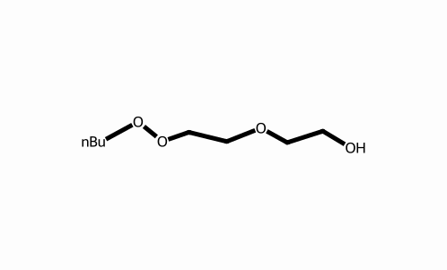 [CH2]CCCOOCCOCCO